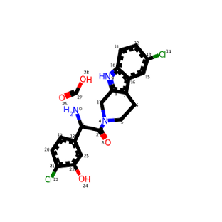 NC(C(=O)N1CCc2c([nH]c3ccc(Cl)cc23)C1)c1ccc(Cl)c(O)c1.O=CO